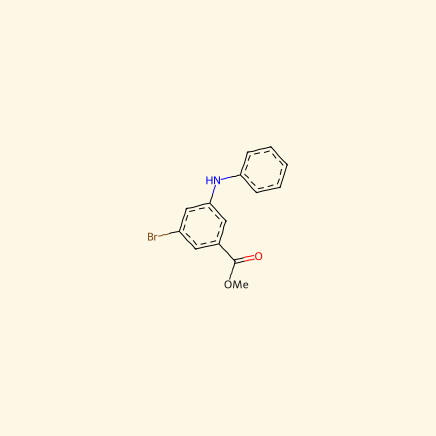 COC(=O)c1cc(Br)cc(Nc2ccccc2)c1